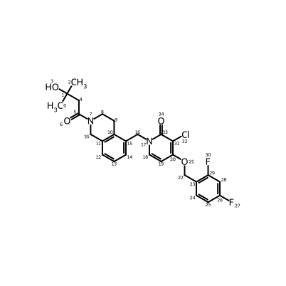 CC(C)(O)CC(=O)N1CCc2c(cccc2Cn2ccc(OCc3ccc(F)cc3F)c(Cl)c2=O)C1